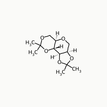 CC1(C)OC[C@H]2OC[C@H]3OC(C)(C)O[C@H]3[C@@H]2O1